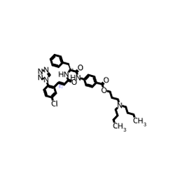 CCCCN(CCCC)CCCOC(=O)c1ccc(NC(=O)[C@H](Cc2ccccc2)NC(=O)/C=C/c2cc(Cl)ccc2-n2cnnn2)cc1